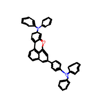 c1ccc(N(c2ccccc2)c2ccc(-c3cc4c5c(cccc5c3)-c3ccc(N(c5ccccc5)c5ccccc5)cc3O4)cc2)cc1